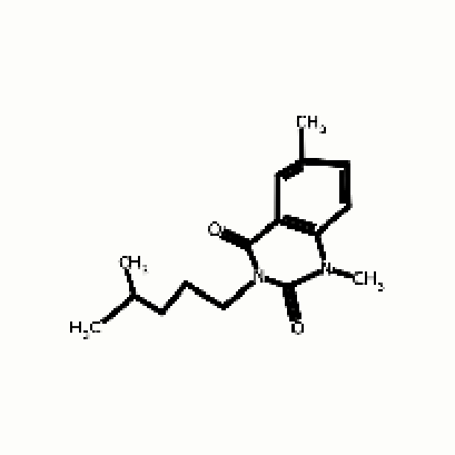 Cc1ccc2c(c1)c(=O)n(CCCC(C)C)c(=O)n2C